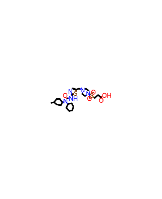 CC1CCC(N(C(=O)Nc2ncc(CN3CCN(S(=O)(=O)CCC(=O)O)CC3)s2)C2CCCCC2)CC1